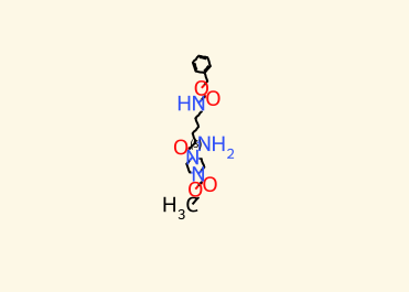 CCOC(=O)N1CCN(C(=O)[C@@H](N)CCCCNC(=O)OCc2ccccc2)CC1